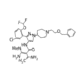 C=C(N)/C(C(=O)Nc1cn(C2CCN(CCOCc3ccccc3)CC2)nc1-c1cc(Cl)ccc1OC(F)F)=C(\N)NC